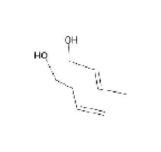 C/C=C/CO.C=CCCO